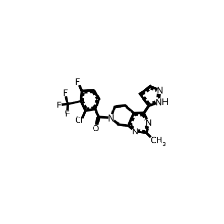 Cc1nc2c(c(-c3ccn[nH]3)n1)CCN(C(=O)c1ccc(F)c(C(F)(F)F)c1Cl)C2